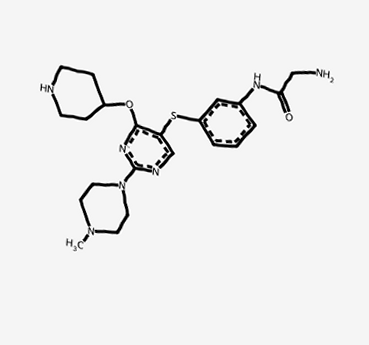 CN1CCN(c2ncc(Sc3cccc(NC(=O)CN)c3)c(OC3CCNCC3)n2)CC1